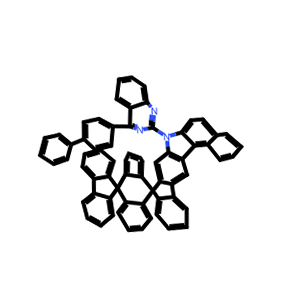 c1ccc(-c2ccc(-c3nc(-n4c5cc6c(cc5c5c7ccccc7ccc54)-c4ccccc4C64c5ccccc5C5(c6ccccc6-c6ccccc65)c5ccccc54)nc4ccccc34)cc2)cc1